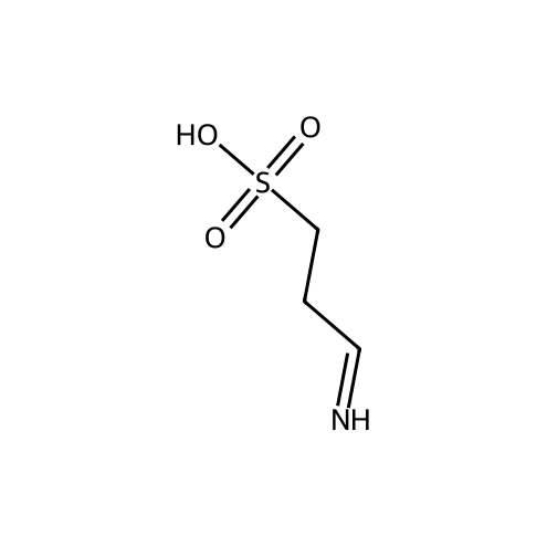 N=CCCS(=O)(=O)O